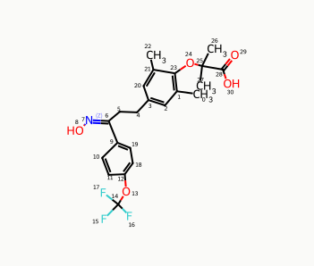 Cc1cc(CC/C(=N/O)c2ccc(OC(F)(F)F)cc2)cc(C)c1OC(C)(C)C(=O)O